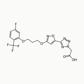 O=C(O)Cn1nnc(-c2cc(OCCCOc3cc(F)ccc3C(F)(F)F)no2)n1